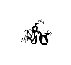 CCc1cc(O)c2c3c(C(N)=O)cccc3n(Cc3ccccc3C(F)(F)F)c2c1